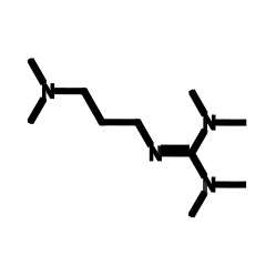 CN(C)CCCN=C(N(C)C)N(C)C